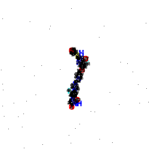 O=C1CCN(c2ccc(N3CCN(CCN4CCC(COc5cc(F)c6c(=O)[nH]c(CSC7CCOCC7)nc6c5)CC4)CC3)c(F)c2)C(=O)N1